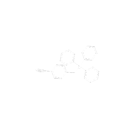 N#Cc1ccc(C[PH](c2ccccc2)(c2ccccc2)c2ccccc2)cc1